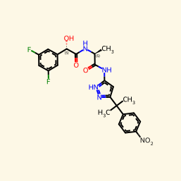 C[C@H](NC(=O)[C@@H](O)c1cc(F)cc(F)c1)C(=O)Nc1cc(C(C)(C)c2ccc([N+](=O)[O-])cc2)n[nH]1